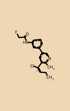 CC/C=C(/Cl)c1cc(-c2cccc(NC(=O)CF)c2)cnc1C